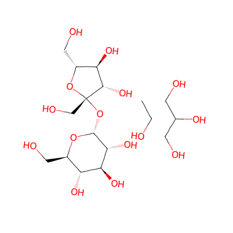 CCO.OCC(O)CO.OC[C@H]1O[C@@](CO)(O[C@H]2O[C@H](CO)[C@@H](O)[C@H](O)[C@H]2O)[C@@H](O)[C@@H]1O